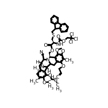 C=CCOc1c(C)c2c(c3c1CC1[C@@H]4c5c(cc(C)c(OC)c5OCOC)C[C@H](C(C#N)N1[C@H]3COC(=O)[C@@H](CSCC1c3ccccc3-c3ccccc31)NC(=O)OCC(Cl)(Cl)Cl)N4C)OCO2